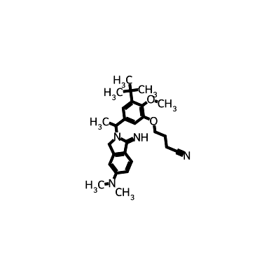 COc1c(OCCCC#N)cc(C(C)N2Cc3cc(N(C)C)ccc3C2=N)cc1C(C)(C)C